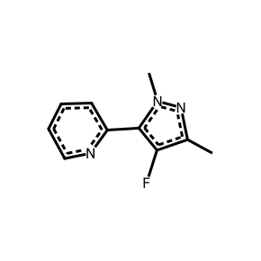 Cc1nn(C)c(-c2ccccn2)c1F